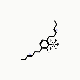 CC/C=C/CCc1ccc(CC/C=C/CC)c(S(F)(F)(F)(F)F)c1F